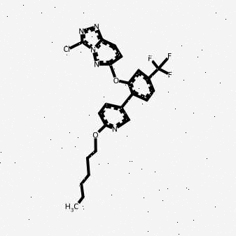 CCCCCCOc1ccc(-c2ccc(C(F)(F)F)cc2Oc2ccc3nnc(Cl)n3n2)cn1